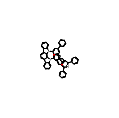 c1ccc(-c2cc(-c3ccccc3)cc(-n3c4ccccc4c4ccc5c6ccccc6n(-c6cccc(-c7cc(-c8ccccc8)nc(-c8ccccc8)c7)c6)c5c43)c2)cc1